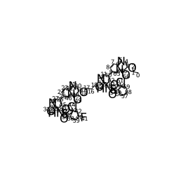 CCOc1cnc2ccc(-c3cnc(OCCCOc4cnc5ccc(-c6cnc(OC)c(NS(=O)(=O)c7ccc(F)cc7Cl)c6)cn5c4=O)c(NS(=O)(=O)c4ccccc4Cl)c3)cn2c1=O